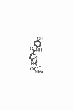 CNC(=O)Nc1cn2nc(C(=O)Nc3ccc(O)cc3)ccc2n1